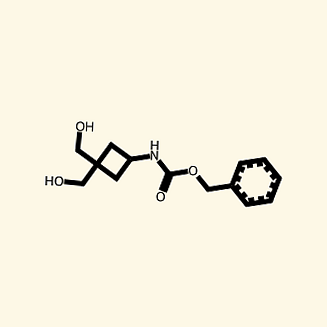 O=C(NC1CC(CO)(CO)C1)OCc1ccccc1